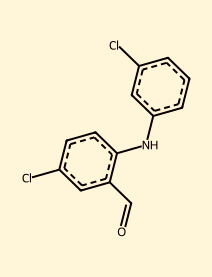 O=Cc1cc(Cl)ccc1Nc1cccc(Cl)c1